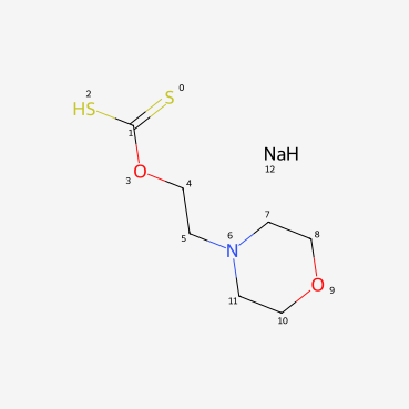 S=C(S)OCCN1CCOCC1.[NaH]